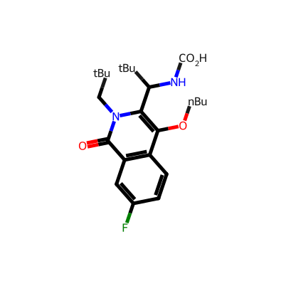 CCCCOc1c(C(NC(=O)O)C(C)(C)C)n(CC(C)(C)C)c(=O)c2cc(F)ccc12